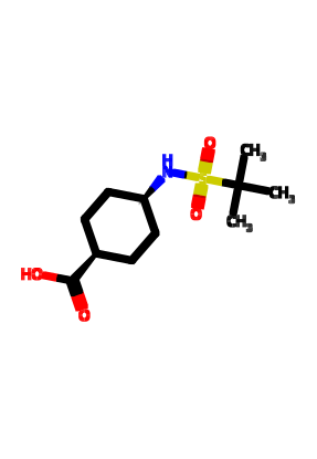 CC(C)(C)S(=O)(=O)N[C@H]1CC[C@@H](C(=O)O)CC1